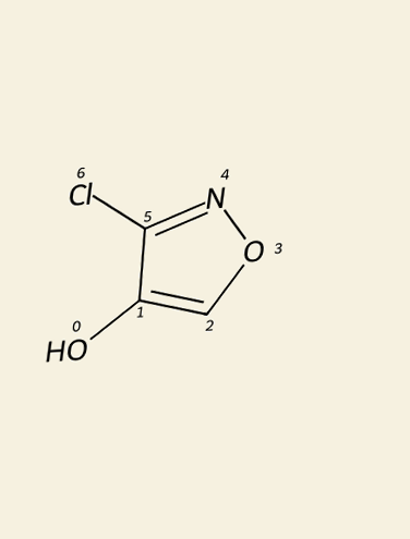 Oc1conc1Cl